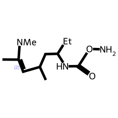 CCC(CC(C)/C=C(/C)NC)NC(=O)ON